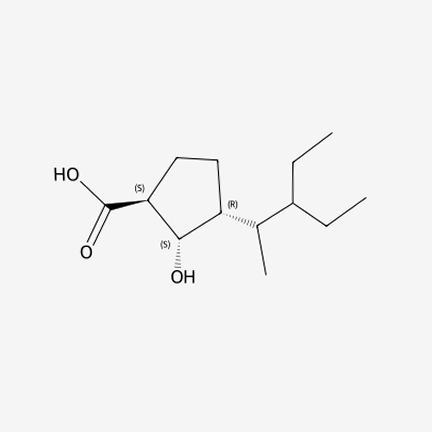 CCC(CC)C(C)[C@H]1CC[C@H](C(=O)O)[C@H]1O